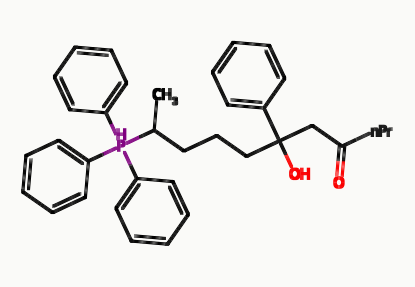 CCCC(=O)CC(O)(CCCC(C)[PH](c1ccccc1)(c1ccccc1)c1ccccc1)c1ccccc1